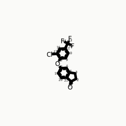 O=C1CCc2cc(Oc3ccc(C(F)(F)F)cc3Cl)ccc21